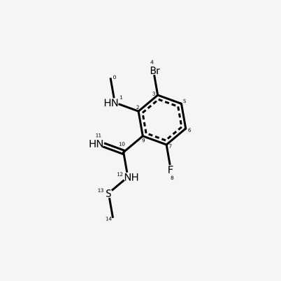 CNc1c(Br)ccc(F)c1C(=N)NSC